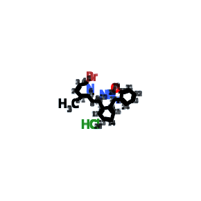 Cc1ccc(Br)nc1C[C@H](N)c1ccccc1-c1noc2ccccc12.Cl